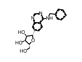 OC[C@H]1O[C@@H](c2ccc3c(NCc4ccccc4)ncnc3c2)[C@H](O)[C@@H]1O